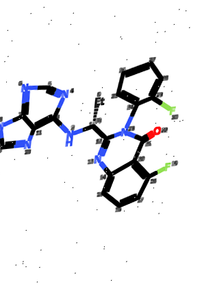 CC[C@@H](Nc1ncnc2[nH]cnc12)c1nc2cccc(F)c2c(=O)n1-c1ccccc1F